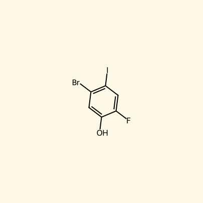 Oc1cc(Br)c(I)cc1F